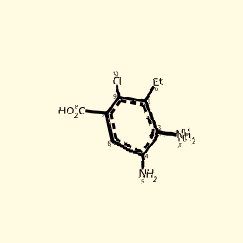 CCc1c(N)c(N)cc(C(=O)O)c1Cl